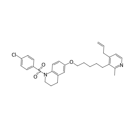 C=CCc1ccnc(C)c1CCCCCOc1ccc2c(c1)CCCN2S(=O)(=O)c1ccc(Cl)cc1